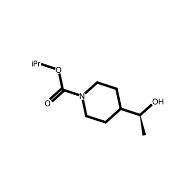 CC(C)OC(=O)N1CCC([C@H](C)O)CC1